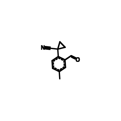 Cc1ccc(C2(C#N)CC2)c(C=O)c1